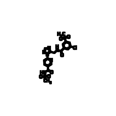 CS(=O)(=O)NC(=O)c1ccc(-n2ncnc2CNC(=O)c2cc(Cl)cc(S(C)(=O)=O)c2)nc1